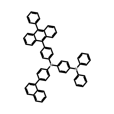 c1ccc(-c2c3ccccc3c(-c3ccc(N(c4ccc(-c5cccc6ccccc56)cc4)c4ccc(N(c5ccccc5)c5ccccc5)cc4)cc3)c3ccccc23)cc1